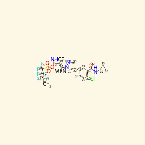 CN/C(=C(\C(=N)OS(=O)(=O)C(F)(F)C(F)(F)C(F)(F)C(F)(F)F)C(F)(F)F)n1cc(-c2ccc(Cl)c(C(=O)NC3CC3)c2)cn1